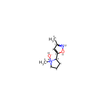 Cc1cc(C2CCC[N+]2(C)[O-])on1